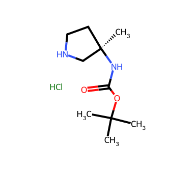 CC(C)(C)OC(=O)N[C@]1(C)CCNC1.Cl